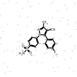 N#Cc1c(C(F)(F)F)nn(-c2ccc(S(N)(=O)=O)cc2)c1-c1ccc(F)cc1